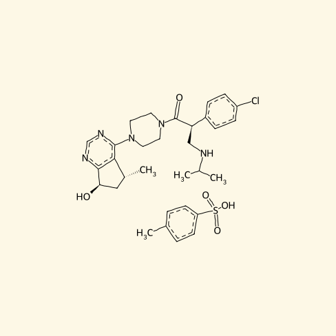 CC(C)NC[C@@H](C(=O)N1CCN(c2ncnc3c2[C@H](C)C[C@H]3O)CC1)c1ccc(Cl)cc1.Cc1ccc(S(=O)(=O)O)cc1